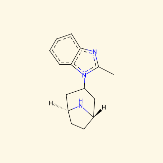 Cc1nc2ccccc2n1C1C[C@@H]2CC[C@@H](C1)N2